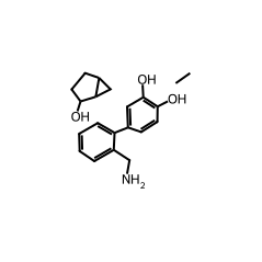 CC.NCc1ccccc1-c1ccc(O)c(O)c1.OC1CCC2CC12